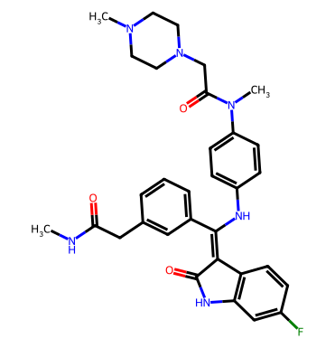 CNC(=O)Cc1cccc(C(Nc2ccc(N(C)C(=O)CN3CCN(C)CC3)cc2)=C2C(=O)Nc3cc(F)ccc32)c1